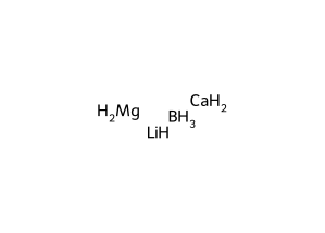 B.[CaH2].[LiH].[MgH2]